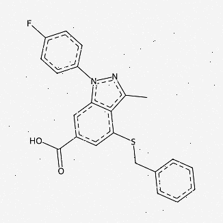 Cc1nn(-c2ccc(F)cc2)c2cc(C(=O)O)cc(SCc3ccccc3)c12